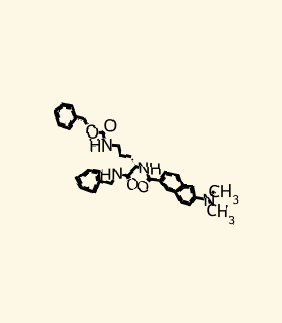 CN(C)c1ccc2cc(C(=O)N[C@@H](CCCNC(=O)OCc3ccccc3)C(=O)NCc3ccccc3)ccc2c1